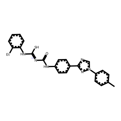 CCc1ccccc1N/C(S)=N/C(=O)Nc1ccc(-c2ncn(-c3ccc(C)cc3)n2)cc1